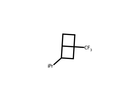 CC(C)C1CC2(C(F)(F)F)CCC12